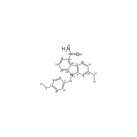 CCc1ccc(Cn2c3cc(CC)c[c]c3c3c(C(N)=O)cccc32)cc1